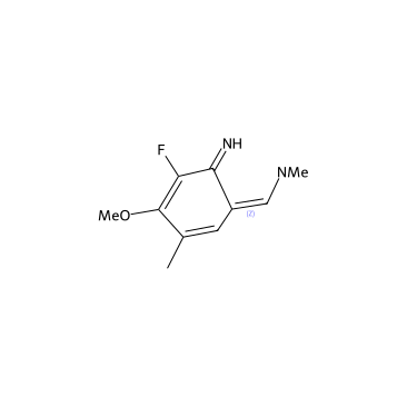 CN/C=C1/C=C(C)C(OC)=C(F)C1=N